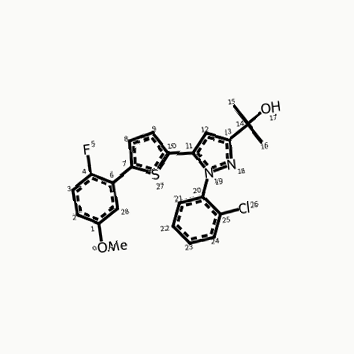 COc1ccc(F)c(-c2ccc(-c3cc(C(C)(C)O)nn3-c3ccccc3Cl)s2)c1